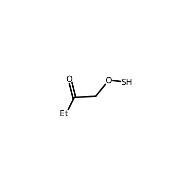 CCC(=O)COS